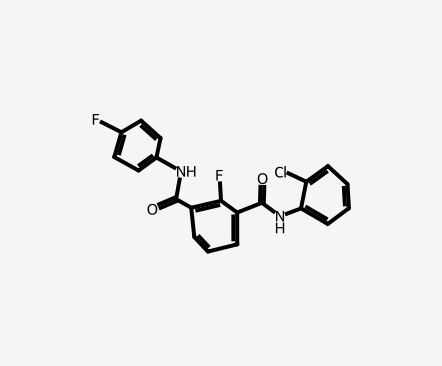 O=C(Nc1ccc(F)cc1)c1cccc(C(=O)Nc2ccccc2Cl)c1F